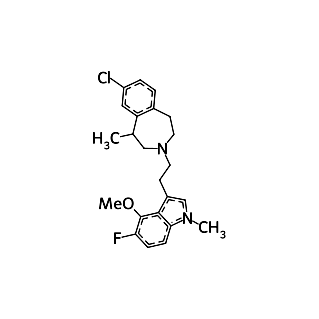 COc1c(F)ccc2c1c(CCN1CCc3ccc(Cl)cc3C(C)C1)cn2C